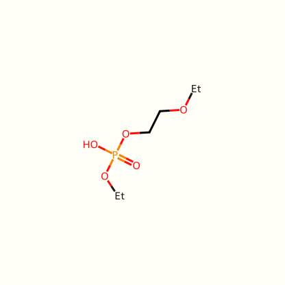 CCOCCOP(=O)(O)OCC